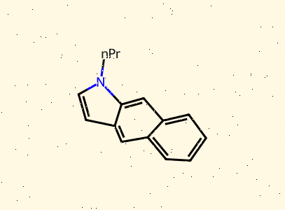 CCCn1ccc2cc3ccccc3cc21